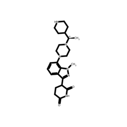 C[C@H](C1CCNCC1)N1CCN(c2cccc3c(C4CCC(=O)NC4=O)nn(C)c23)CC1